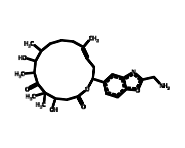 C/C1=C\CC(c2ccc3oc(CN)nc3c2)OC(=O)CC(O)C(C)(C)C(=O)C(C)C(O)C(C)CCC1